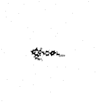 COCCOc1ccc(N2CCN(CCN3C(=O)N(C4CC4)N4C5=C(c6ccco6)N=CN(N)C5=NC34)CC2)cc1